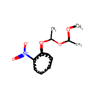 COC(C)OC(C)Oc1ccccc1[N+](=O)[O-]